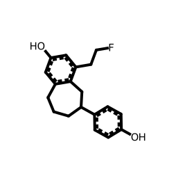 Oc1ccc(C2CCCc3cc(O)cc(CCF)c3C2)cc1